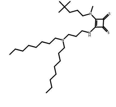 CCCCCCCCN(CCCCCCCC)CCCNc1c(N(C)CCCC(C)(C)C)c(=S)c1=S